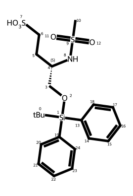 CC(C)(C)[Si](OC[C@H](CCS(=O)(=O)O)NS(C)(=O)=O)(c1ccccc1)c1ccccc1